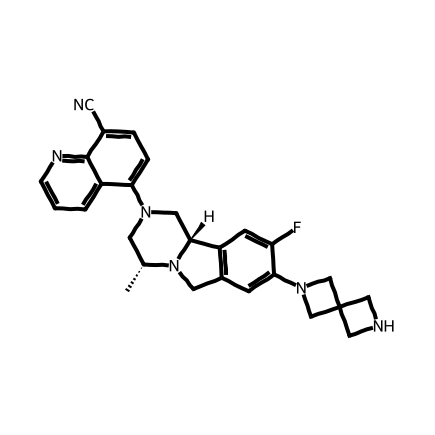 C[C@@H]1CN(c2ccc(C#N)c3ncccc23)C[C@@H]2c3cc(F)c(N4CC5(CNC5)C4)cc3CN12